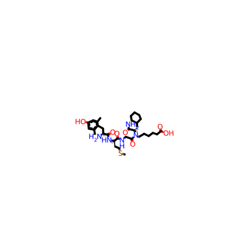 CSCC[C@@H](NC(=O)[C@@H](N)Cc1c(C)cc(O)cc1C)C(=O)NCC(=O)N(CCCCCC(=O)O)[C@@H](CC1CCCCC1)C(N)=O